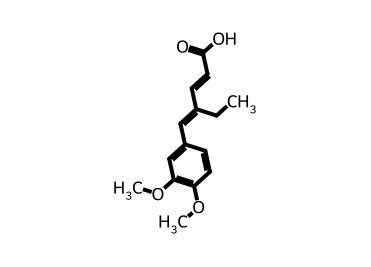 CCC(/C=C/C(=O)O)=C\c1ccc(OC)c(OC)c1